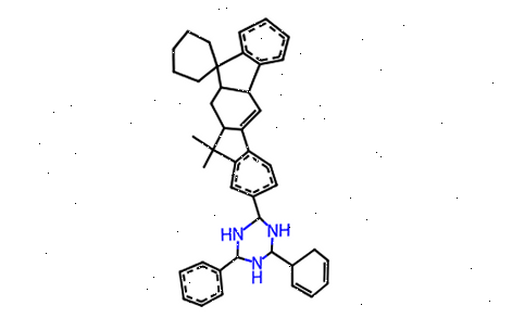 CC1(C)c2cc(C3NC(c4ccccc4)NC(C4C=CC=CC4)N3)ccc2C2=CC3c4ccccc4C4(CCCCC4)C3CC21